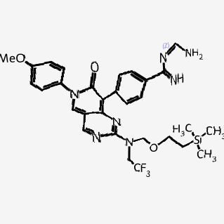 COc1ccc(-n2cc3cnc(N(COCC[Si](C)(C)C)CC(F)(F)F)nc3c(-c3ccc(C(=N)/N=C\N)cc3)c2=O)cc1